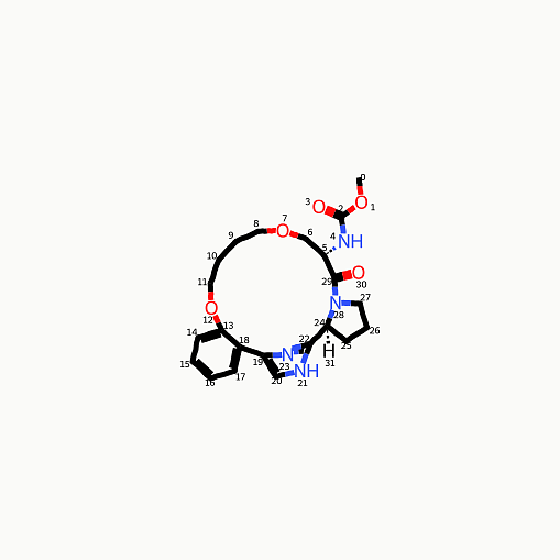 COC(=O)N[C@H]1COCCCCOc2ccccc2-c2c[nH]c(n2)[C@@H]2CCCN2C1=O